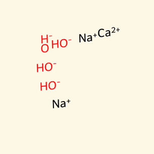 [Ca+2].[Na+].[Na+].[OH-].[OH-].[OH-].[OH-]